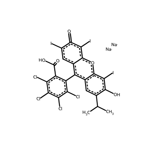 CC(C)c1cc2c(-c3c(Cl)c(Cl)c(Cl)c(Cl)c3C(=O)O)c3cc(I)c(=O)c(I)c-3oc2c(I)c1O.[Na].[Na]